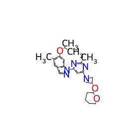 Cc1nc(N2CC(OC3CCCCO3)C2)cc(-n2ncc3cc(C)c(OC(C)C)cc32)n1